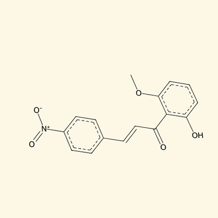 COc1cccc(O)c1C(=O)C=Cc1ccc([N+](=O)[O-])cc1